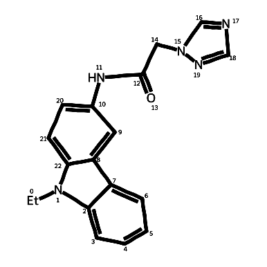 CCn1c2ccccc2c2cc(NC(=O)Cn3cncn3)ccc21